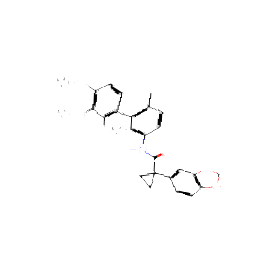 COc1ccc(-c2cc(NC(=O)C3(c4ccc5c(c4)OCO5)CC3)ccc2C)c(OC)c1OC